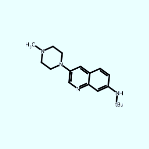 CN1CCN(c2cnc3cc(NC(C)(C)C)ccc3c2)CC1